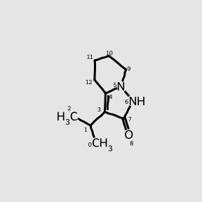 CC(C)c1c2n([nH]c1=O)CCCC2